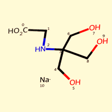 O=C(O)CNC(CO)(CO)CO.[Na]